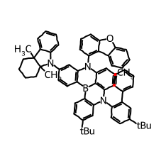 Cc1cc2c3c(c1)N(c1cccc4oc5ccccc5c14)c1cc(N4c5ccccc5C5(C)CCCCC45C)ccc1B3c1ccc(C(C)(C)C)cc1N2c1ccc(C(C)(C)C)cc1-c1ccccc1